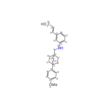 COc1ccc(C23CCC(CNc4cccc(/C=C/C(=O)O)c4)(CC2)CC3)cc1